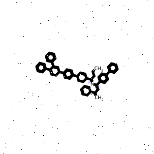 C=C(/C=C(\N=C(/CCC)C1C=CC(c2ccc(C3C=C(c4ccccc4)C(c4ccccc4)=CC3)cc2)CC1)c1ccc(-c2ccccc2)cc1)C1C=CC=CC1